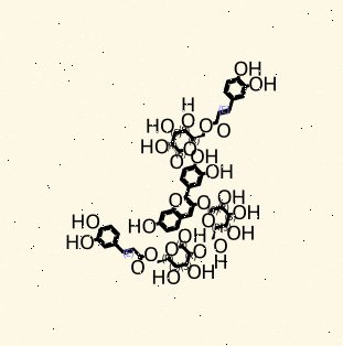 O=C(/C=C/c1ccc(O)c(O)c1)OC[C@H]1O[C@@H](Oc2cc(-c3[o+]c4cc(O)cc(O[C@@H]5O[C@H](COC(=O)/C=C/c6ccc(O)c(O)c6)[C@@H](O)[C@H](O)[C@H]5O)c4cc3O[C@@H]3O[C@H](CO)[C@@H](O)[C@H](O)[C@H]3O)cc(O)c2O)[C@H](O)[C@@H](O)[C@@H]1O